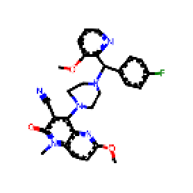 COc1ccc2c(n1)c(N1CCN(C(c3ccc(F)cc3)c3ncccc3OC)CC1)c(C#N)c(=O)n2C